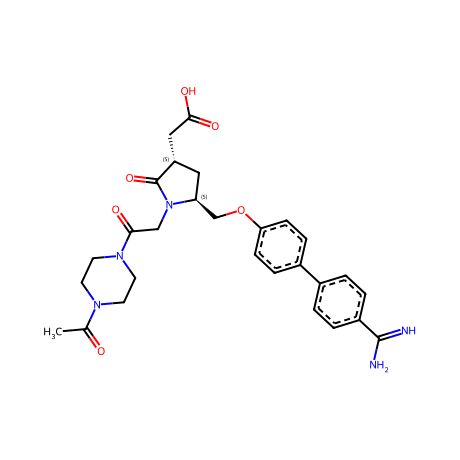 CC(=O)N1CCN(C(=O)CN2C(=O)[C@H](CC(=O)O)C[C@H]2COc2ccc(-c3ccc(C(=N)N)cc3)cc2)CC1